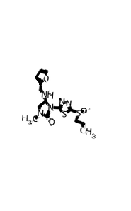 CCC[S+]([O-])c1nnc(N2C(=O)N(C)CC2NCc2ccco2)s1